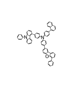 c1ccc(-c2cccc3c2oc2ccc(-c4ccc(N(c5ccc(-c6cccc7ccccc67)cc5)c5ccc(-c6cccc7c6c6ccccc6n7-c6ccccc6)cc5)cc4)cc23)cc1